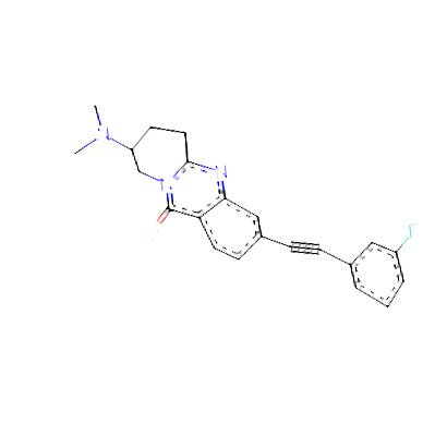 CN(C)C1CCc2nc3cc(C#Cc4cccc(F)c4)ccc3c(=O)n2C1